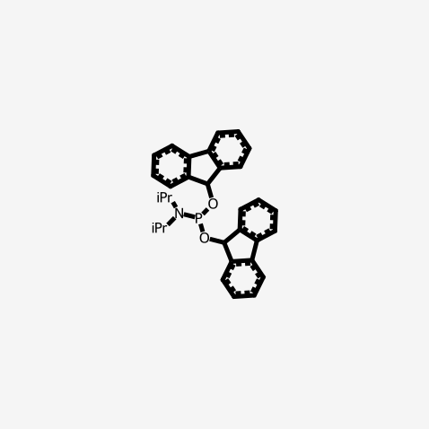 CC(C)N(C(C)C)P(OC1c2ccccc2-c2ccccc21)OC1c2ccccc2-c2ccccc21